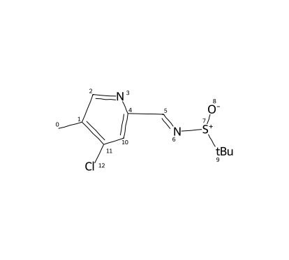 Cc1cnc(C=N[S+]([O-])C(C)(C)C)cc1Cl